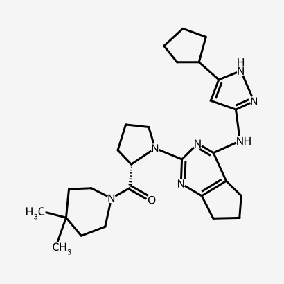 CC1(C)CCN(C(=O)[C@@H]2CCCN2c2nc3c(c(Nc4cc(C5CCCC5)[nH]n4)n2)CCC3)CC1